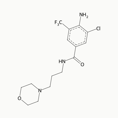 Nc1c(Cl)cc(C(=O)NCCCN2CCOCC2)cc1C(F)(F)F